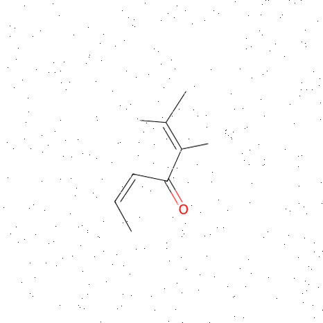 C/C=C\C(=O)C(C)=C(C)C